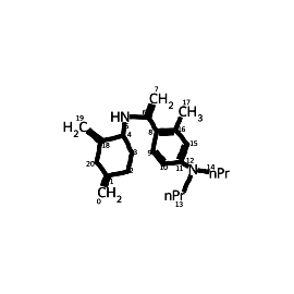 C=C1CCC(NC(=C)c2ccc(N(CCC)CCC)cc2C)C(=C)C1